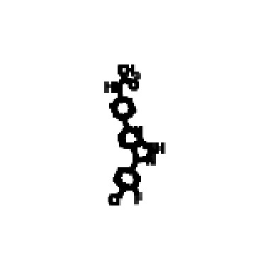 CC(=O)Nc1ccc(-c2ccc3c(-c4ccc(Cl)c(F)c4)n[nH]c3n2)cc1